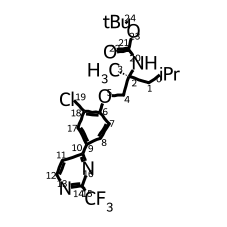 CC(C)C[C@@](C)(COc1ccc(-c2ccnc(C(F)(F)F)n2)cc1Cl)NC(=O)OC(C)(C)C